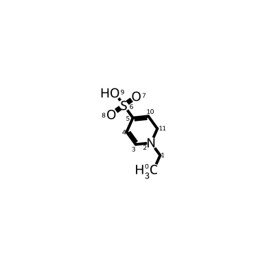 CCN1C=CC(S(=O)(=O)O)=CC1